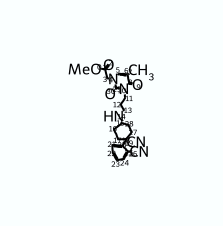 COC(=O)Cn1cc(C)c(=O)n(CCCN[C@H]2CC[C@@](C#N)(c3ccccc3C#N)CC2)c1=O